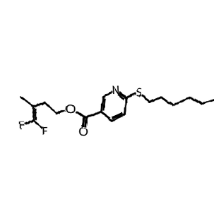 CCCCCCSc1ccc(C(=O)OCCC(C)=C(F)F)cn1